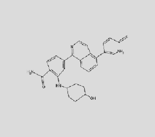 C=C/C=C\C(=C/N)c1cccc2c(-c3ccc(C(N)=O)c(NC4CCC(O)CC4)c3)nccc12